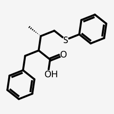 C[C@H](CSc1ccccc1)C(Cc1ccccc1)C(=O)O